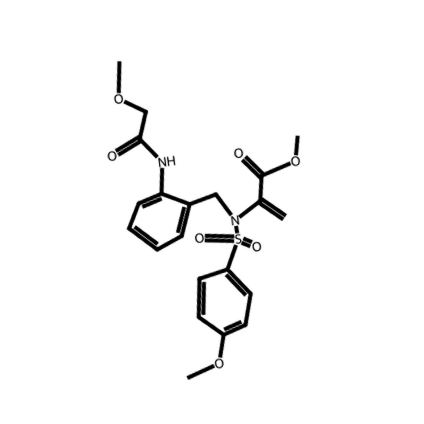 C=C(C(=O)OC)N(Cc1ccccc1NC(=O)COC)S(=O)(=O)c1ccc(OC)cc1